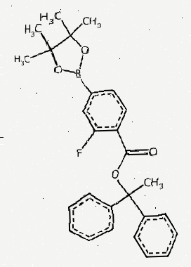 CC(OC(=O)c1ccc(B2OC(C)(C)C(C)(C)O2)cc1F)(c1ccccc1)c1ccccc1